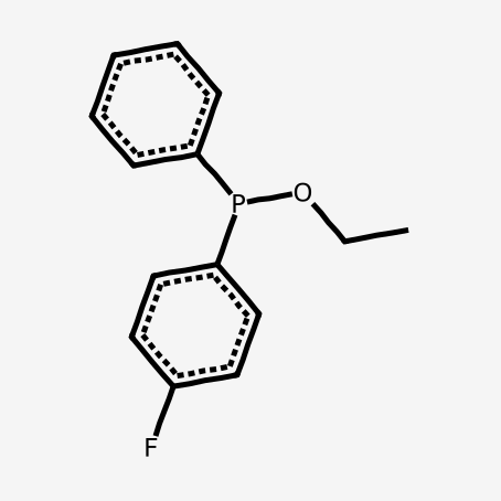 CCOP(c1ccccc1)c1ccc(F)cc1